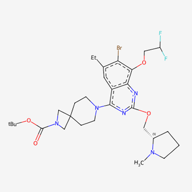 CCc1cc2c(N3CCC4(CC3)CN(C(=O)OC(C)(C)C)C4)nc(OC[C@@H]3CCCN3C)nc2c(OCC(F)F)c1Br